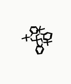 CC(C)(C)P(CC(CI)(CP(c1ccccc1)C(C)(C)C)CP(c1ccccc1)C(C)(C)C)c1ccccc1